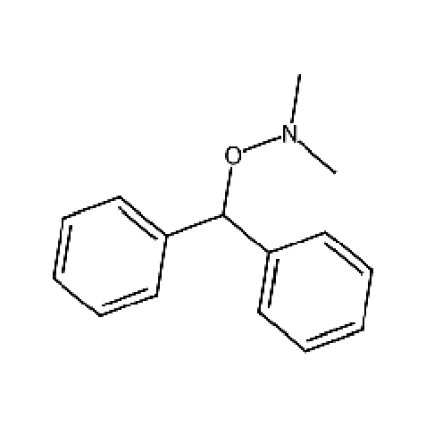 CN(C)OC(c1ccccc1)c1ccccc1